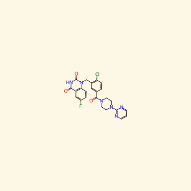 O=C(c1ccc(Cl)c(Cn2c(=O)[nH]c(=O)c3cc(F)ccc32)c1)N1CCN(c2ncccn2)CC1